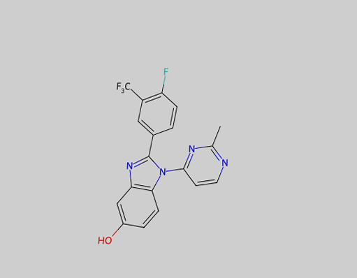 Cc1nccc(-n2c(-c3ccc(F)c(C(F)(F)F)c3)nc3cc(O)ccc32)n1